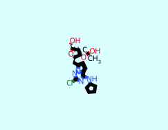 CC(C)(O)O[C@@H]1C[C@@H](CO)O[C@@H]1Cc1ccc2c(NC3CCCC3)nc(Cl)nn12